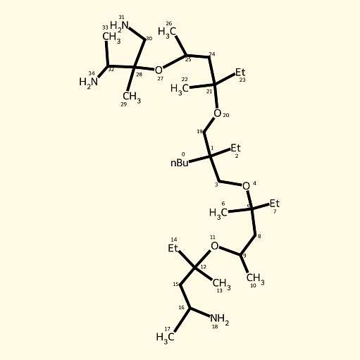 CCCCC(CC)(COC(C)(CC)CC(C)OC(C)(CC)CC(C)N)COC(C)(CC)CC(C)OC(C)(CN)C(C)N